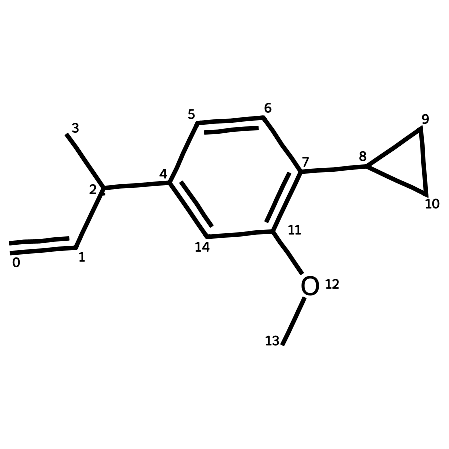 C=C[C](C)c1ccc(C2CC2)c(OC)c1